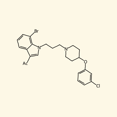 CC(=O)c1cn(CCCN2CCC(Oc3cccc(Cl)c3)CC2)c2c(Br)cccc12